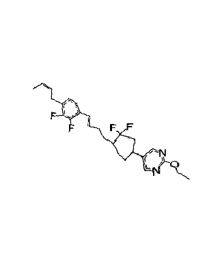 C/C=C\Cc1ccc(/C=C/CCC2CCC(c3cnc(OCC)nc3)CC2(F)F)c(F)c1F